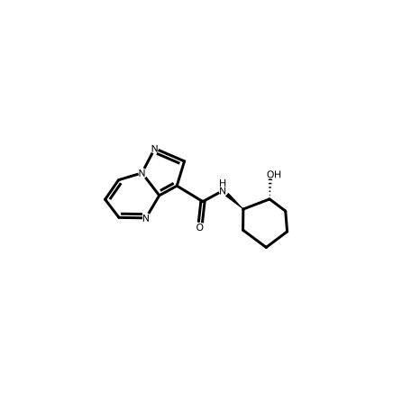 O=C(N[C@@H]1CCCC[C@H]1O)c1cnn2cccnc12